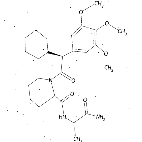 COc1cc([C@@H](C(=O)N2CCCC[C@H]2C(=O)N[C@@H](C)C(N)=O)C2CCCCC2)cc(OC)c1OC